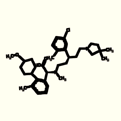 COC1CCC(c2c(C)cccc2[C@@H](C(=O)O)N(C)CC[C@H](CCN2CCC(C)(C)C2)c2cc(Cl)ccc2C)CC1